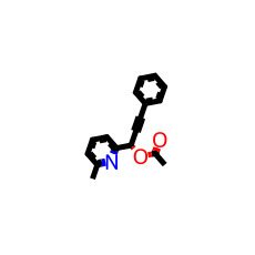 CC(=O)OC(C#Cc1ccccc1)c1cccc(C)n1